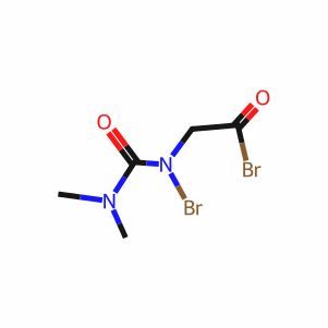 CN(C)C(=O)N(Br)CC(=O)Br